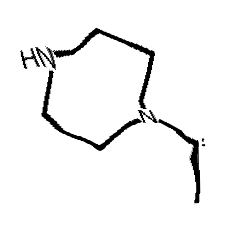 C[C]N1CCNCC1